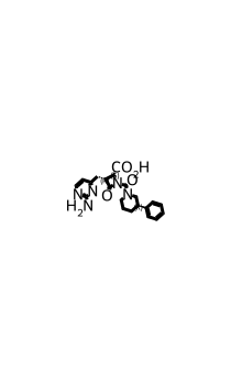 Nc1nccc(C[C@H]2C(=O)N(C(=O)N3CCC[C@H](c4ccccc4)C3)[C@@H]2C(=O)O)n1